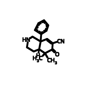 CC1(C)C(=O)C(C#N)=CC2(c3ccccc3)CNCC[C@@H]12